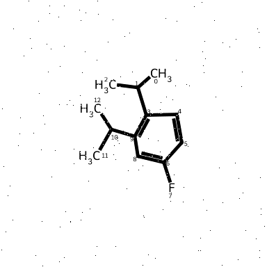 CC(C)c1ccc(F)cc1C(C)C